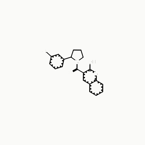 O=C(c1cc2ccccc2nc1O)N1CCCC1c1cccc(Cl)c1